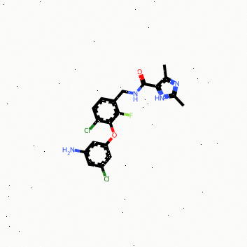 Cc1nc(C)c(C(=O)NCc2ccc(Cl)c(Oc3cc(N)cc(Cl)c3)c2F)[nH]1